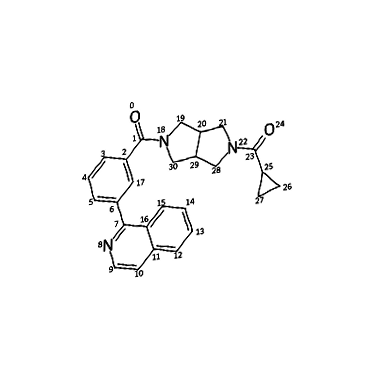 O=C(c1cccc(-c2nccc3ccccc23)c1)N1CC2CN(C(=O)C3CC3)CC2C1